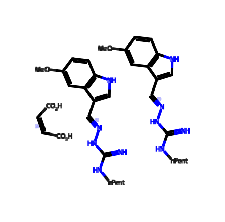 CCCCCNC(=N)N/N=C/c1c[nH]c2ccc(OC)cc12.CCCCCNC(=N)N/N=C/c1c[nH]c2ccc(OC)cc12.O=C(O)/C=C\C(=O)O